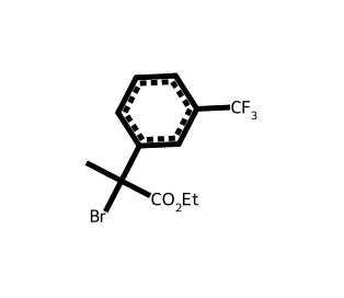 CCOC(=O)C(C)(Br)c1cccc(C(F)(F)F)c1